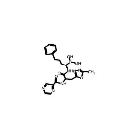 Cc1nnc(CC(NC(=O)c2cnccn2)C(=O)N[C@@H](CCCc2ccccc2)B(O)O)o1